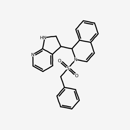 O=S(=O)(Cc1ccccc1)N1C=Cc2ccccc2C1C1CNc2ncccc21